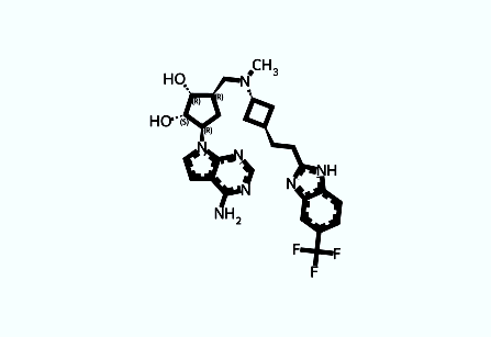 CN(C[C@H]1C[C@@H](n2ccc3c(N)ncnc32)[C@H](O)[C@@H]1O)[C@H]1C[C@H](CCc2nc3cc(C(F)(F)F)ccc3[nH]2)C1